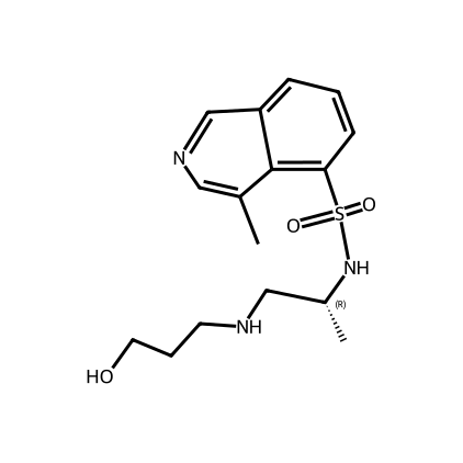 Cc1cncc2cccc(S(=O)(=O)N[C@H](C)CNCCCO)c12